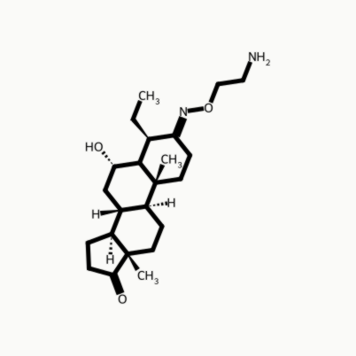 CC[C@H]1C(=NOCCN)CC[C@@]2(C)C1[C@@H](O)C[C@@H]1[C@@H]2CC[C@]2(C)C(=O)CC[C@@H]12